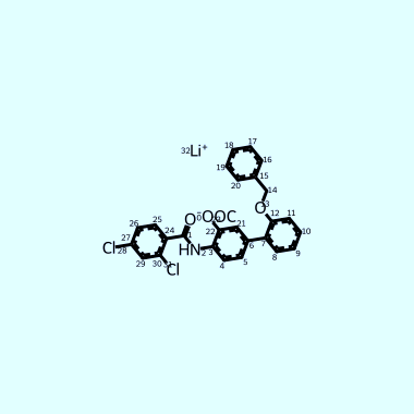 O=C(Nc1ccc(-c2ccccc2OCc2ccccc2)cc1C(=O)[O-])c1ccc(Cl)cc1Cl.[Li+]